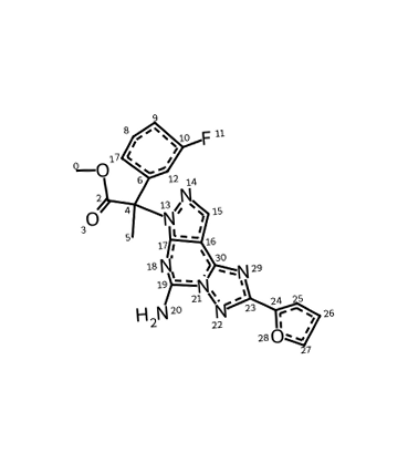 COC(=O)C(C)(c1cccc(F)c1)n1ncc2c1nc(N)n1nc(-c3ccco3)nc21